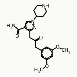 COc1cc(CC(=O)Cc2nn(C3CCNCC3)cc2C(N)=O)cc(OC)c1